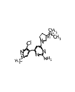 C=[N+](C)[C@@H]1CCN(c2cc(-c3cn(C)nc3Cl)nc(N)n2)C1